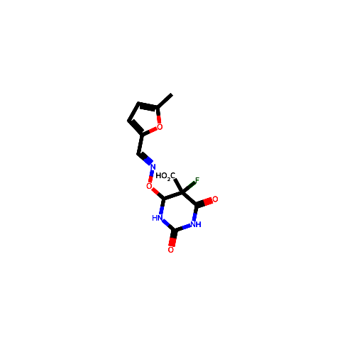 Cc1ccc(/C=N/OC2NC(=O)NC(=O)C2(F)C(=O)O)o1